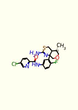 C[C@@H]1COCC2(c3cc(NC(=O)c4ccc(Cl)cn4)ccc3F)N=C(N)SCC12